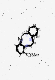 COc1cccc2/c1=C\C=c1\cccc\c1=C\N=2